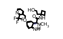 CN/C(C(=O)NC1(CCO)CCC1)=C1/C=C(OCc2cccnc2C(F)(F)F)C=CC1=N